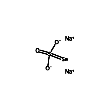 O=S([O-])([O-])=[Se].[Na+].[Na+]